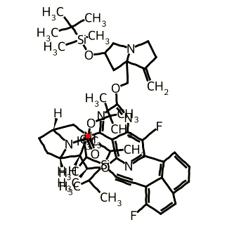 C=C1CCN2CC(O[Si](C)(C)C(C)(C)C)CC12COc1nc2c3c(nc(-c4cccc5ccc(F)c(C#C[Si](C(C)C)(C(C)C)C(C)C)c45)c(F)c3n1)O[C@@H](C)[C@@H]1[C@@H]3CC[C@H](CN21)N3C(=O)OC(C)(C)C